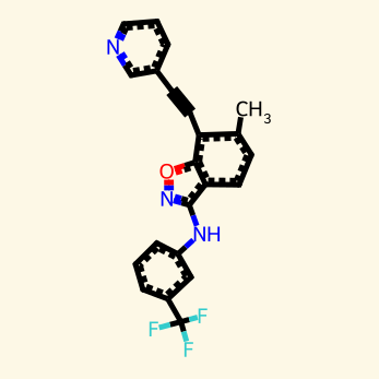 Cc1ccc2c(Nc3cccc(C(F)(F)F)c3)noc2c1C#Cc1cccnc1